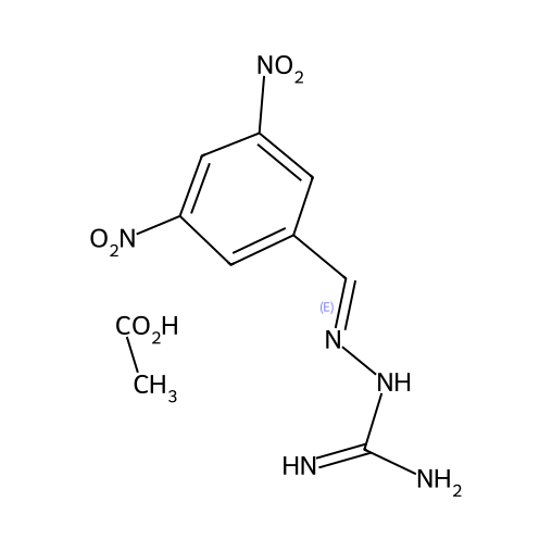 CC(=O)O.N=C(N)N/N=C/c1cc([N+](=O)[O-])cc([N+](=O)[O-])c1